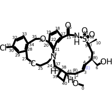 CO[C@H]1/C=C/[C@H](CO)C[C@H](C)S(=O)(=O)NC(=O)c2ccc3c(c2)N(CCCCc2cc(Cl)ccc2CO3)C[C@@H]2CC[C@H]21